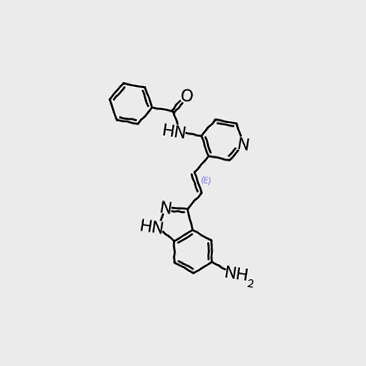 Nc1ccc2[nH]nc(/C=C/c3cnccc3NC(=O)c3ccccc3)c2c1